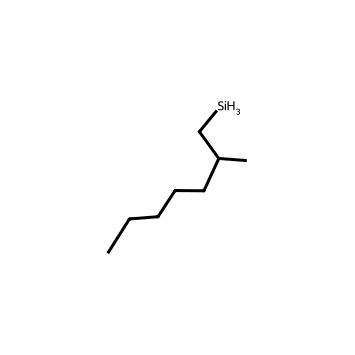 CCCCCC(C)C[SiH3]